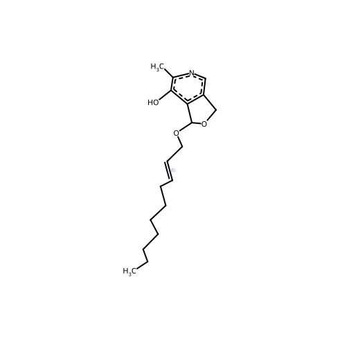 CCCCCCC/C=C/COC1OCc2cnc(C)c(O)c21